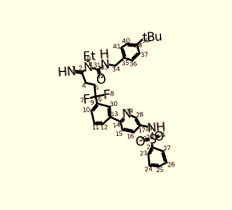 CCN(C(=N)CCC(F)(F)c1cccc(-c2ccc(NS(=O)(=O)c3ccccc3)cn2)c1)C(=O)NCc1ccc(C(C)(C)C)cc1